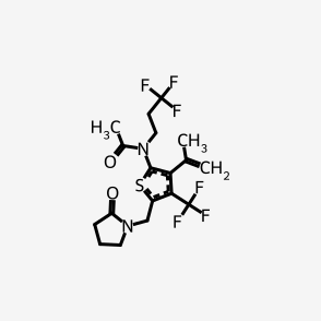 C=C(C)c1c(N(CCC(F)(F)F)C(C)=O)sc(CN2CCCC2=O)c1C(F)(F)F